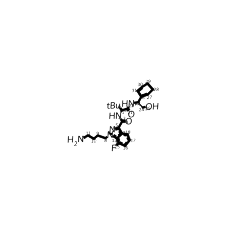 CC(C)(C)C(NC(=O)c1nn(CCCCN)c2c(F)cccc12)C(=O)N[C@H](CO)C1=CCCC=C1